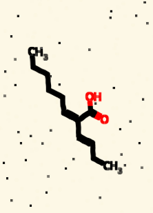 CCC=CC(=CCCCCC)C(=O)O